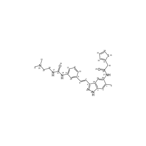 Cc1cc2[nH]nc(C=Cc3cccc(NC(=O)NCCN(C)C)c3)c2cc1NC(=O)Cc1cccs1